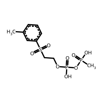 Cc1cccc(S(=O)(=O)CCOP(=O)(O)OP(C)(=O)O)c1